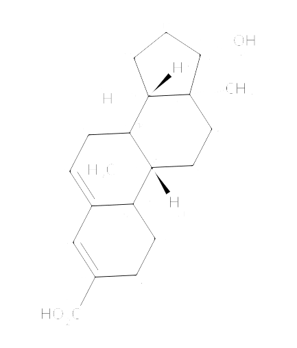 C[C@]12CC[C@H]3[C@@H](CC=C4C=C(C(=O)O)CC[C@@]43C)[C@@H]1CC[C@@H]2O